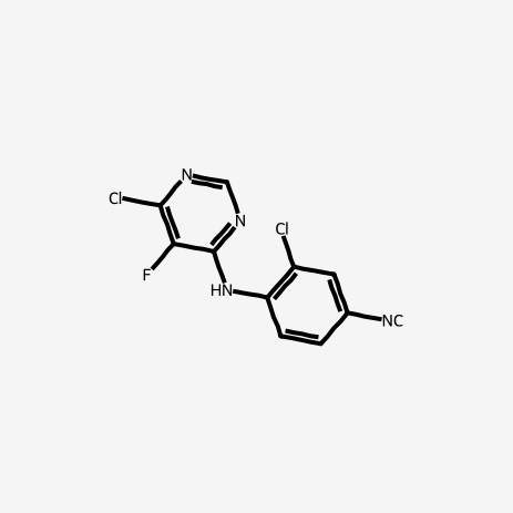 [C-]#[N+]c1ccc(Nc2ncnc(Cl)c2F)c(Cl)c1